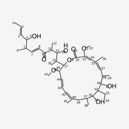 CC=CC(O)C(C)C=CC(=O)C(C)C(O)C(C)C1OC(=O)C(OC)=CC(C)=CC(C)C(O)C(CC)C(O)C(C)CC(C)=CC=CC1OC